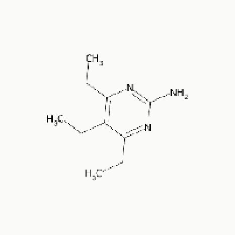 CCc1nc(N)nc(CC)c1CC